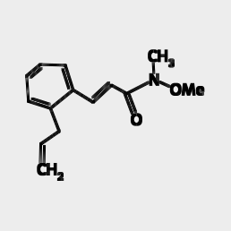 C=CCc1ccccc1/C=C/C(=O)N(C)OC